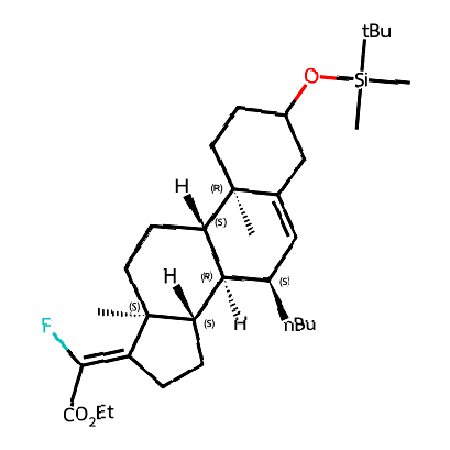 CCCC[C@@H]1C=C2CC(O[Si](C)(C)C(C)(C)C)CC[C@]2(C)[C@H]2CC[C@]3(C)C(=C(F)C(=O)OCC)CC[C@H]3[C@H]12